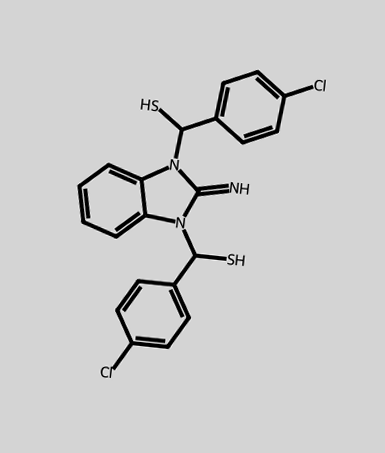 N=c1n(C(S)c2ccc(Cl)cc2)c2ccccc2n1C(S)c1ccc(Cl)cc1